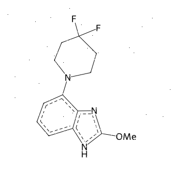 COc1nc2c(N3CCC(F)(F)CC3)cccc2[nH]1